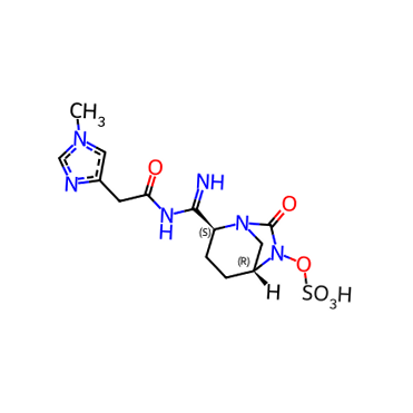 Cn1cnc(CC(=O)NC(=N)[C@@H]2CC[C@@H]3CN2C(=O)N3OS(=O)(=O)O)c1